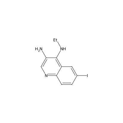 CCNc1c(N)cnc2ccc(I)cc12